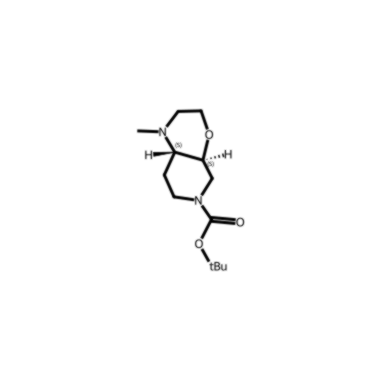 CN1CCO[C@H]2CN(C(=O)OC(C)(C)C)CC[C@@H]21